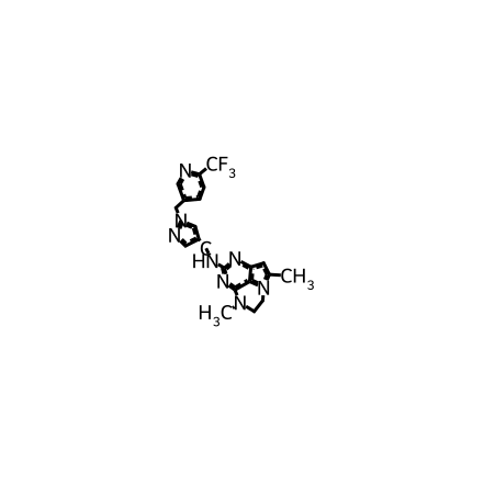 Cc1cc2nc(NCc3cnn(Cc4ccc(C(F)(F)F)nc4)c3)nc3c2n1CCN3C